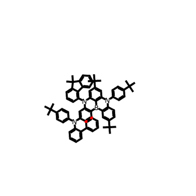 CC(C)(C)c1ccc(N(c2ccc3c(c2)N(c2cccc4c2-c2ccccc2C4(C)C)c2cc(C(C)(C)C)cc4c2B3c2cc(C(C)(C)C)ccc2N4c2ccc(C(C)(C)C)cc2)c2ccccc2-c2ccccc2)cc1